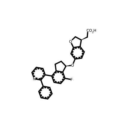 O=C(O)C[C@@H]1COc2cc(O[C@@H]3CCc4c(-c5cccnc5-c5ccccc5)ccc(F)c43)ccc21